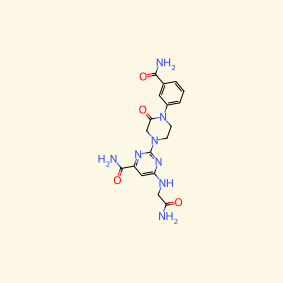 NC(=O)CNc1cc(C(N)=O)nc(N2CCN(c3cccc(C(N)=O)c3)C(=O)C2)n1